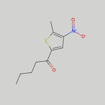 CCCCC(=O)c1cc([N+](=O)[O-])c(C)s1